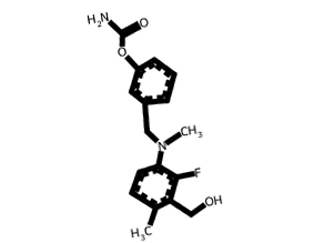 Cc1ccc(N(C)Cc2cccc(OC(N)=O)c2)c(F)c1CO